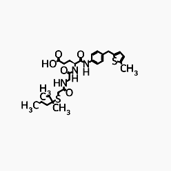 CCCC(C)(CC)SCC(=O)NCC(=O)N[C@@H](CCC(=O)O)C(=O)Nc1ccc(Cc2ccc(C)s2)cc1